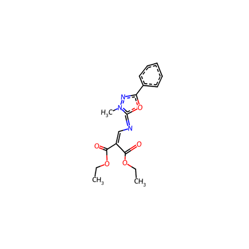 CCOC(=O)C(=CN=c1oc(-c2ccccc2)nn1C)C(=O)OCC